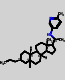 CCC[C@H]1CC[C@@H]2C3CC[C@@]4(C)C(CCC4[C@H](C)Nc4ccc(C)nc4)[C@@H]3CC[C@@H]2C1